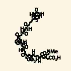 CNCC(=O)N(CC(=O)O)CC(=O)NCCNC(=O)CN(CC(=O)O)C(=O)CNC(=O)CNC(=O)CN(CC(=O)O)C(=O)CNC(=O)CNC(=O)CCCCC1SC[C@@H]2NC(=O)N[C@H]12